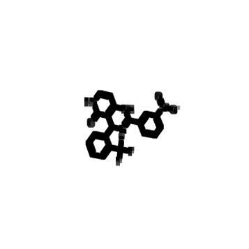 O=c1[nH]ccc2c1C(c1ccccc1C(F)(F)F)N=C(c1cccc([N+](=O)[O-])c1)N2